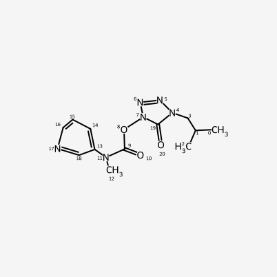 CC(C)Cn1nnn(OC(=O)N(C)c2cccnc2)c1=O